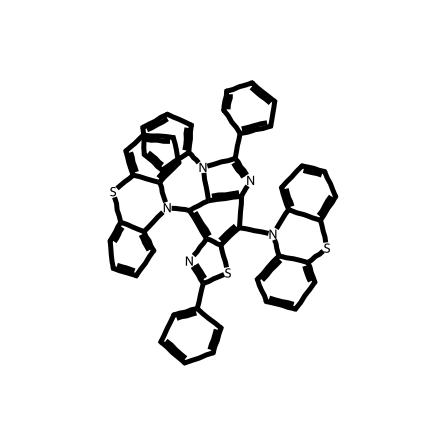 c1ccc(-c2nc3c(N4c5ccccc5Sc5ccccc54)c4c(nc(-c5ccccc5)n4-c4ccccc4)c(N4c5ccccc5Sc5ccccc54)c3s2)cc1